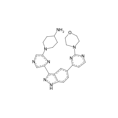 NC1CCN(c2cncc(-c3n[nH]c4ccc(-c5ccnc(N6CCOCC6)n5)cc34)n2)CC1